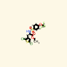 CCOC(=O)[C@@H](Cc1cc(Cl)sc1Cl)NS(=O)(=O)c1ccc(OC(F)(F)F)cc1